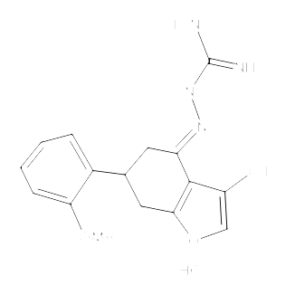 COc1ccccc1C1C/C(=N\NC(=N)N)c2c(C)coc2C1.Cl